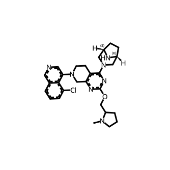 CN1CCCC1COc1nc2c(c(N3C[C@H]4CC[C@@H](C3)N4)n1)CCN(c1cncc3cccc(Cl)c13)C2